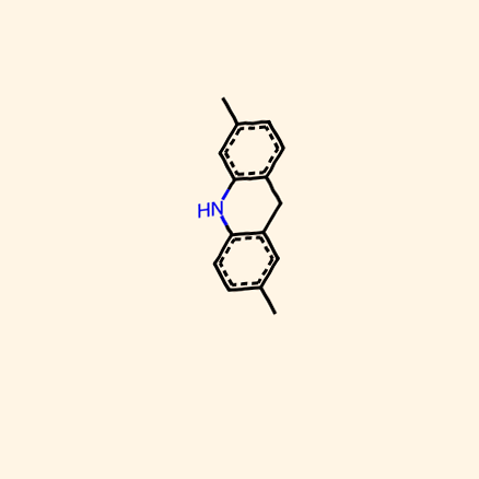 Cc1ccc2c(c1)Cc1ccc(C)cc1N2